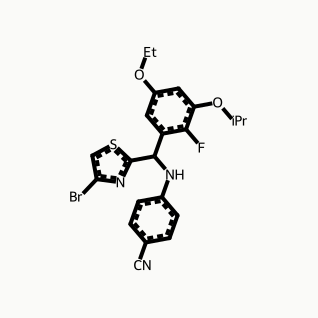 CCOc1cc(OC(C)C)c(F)c(C(Nc2ccc(C#N)cc2)c2nc(Br)cs2)c1